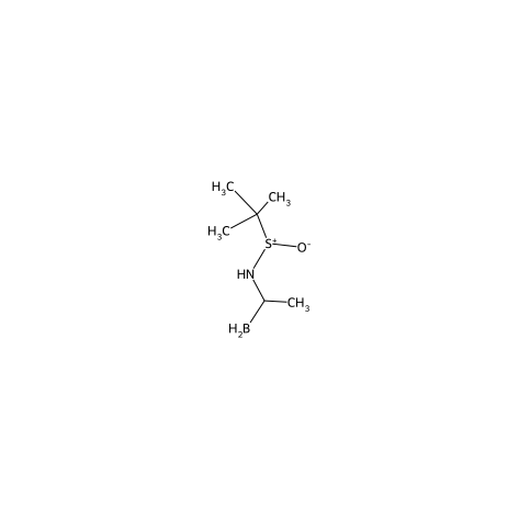 BC(C)N[S+]([O-])C(C)(C)C